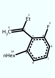 C=C(CC)c1c(F)cccc1CCCCCC